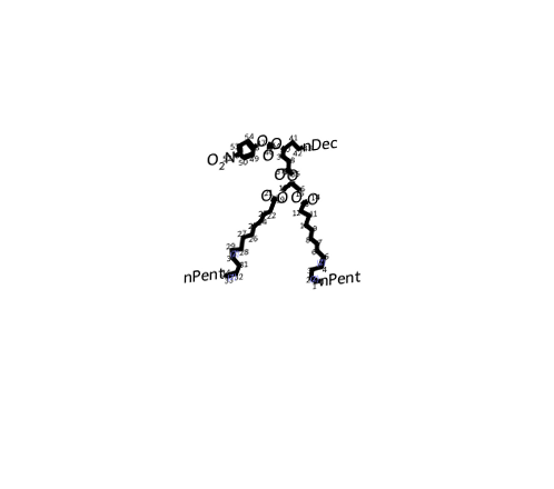 CCCCC/C=C\C/C=C\CCCCCCCC(=O)OCC(COC(=O)CCCCCCC/C=C\C/C=C\CCCCC)OC(=O)CCC(CCCCCCCCCCCC)OC(=O)Oc1ccc([N+](=O)[O-])cc1